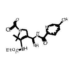 CCOC(=O)NC1=C(C(=N)NC(=O)c2ccc(C#N)cn2)CN(C(=O)Cl)C1(C)C